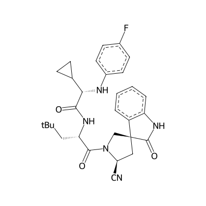 CC(C)(C)C[C@H](NC(=O)[C@@H](Nc1ccc(F)cc1)C1CC1)C(=O)N1C[C@]2(C[C@H]1C#N)C(=O)Nc1ccccc12